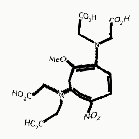 COc1c(N(CC(=O)O)CC(=O)O)ccc([N+](=O)[O-])c1N(CC(=O)O)CC(=O)O